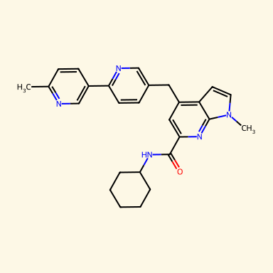 Cc1ccc(-c2ccc(Cc3cc(C(=O)NC4CCCCC4)nc4c3ccn4C)cn2)cn1